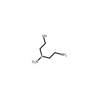 NCCN(CCO)[N+](=O)[O-]